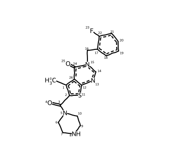 Cc1c(C(=O)N2CCNCC2)sc2ncn(Cc3ccccc3F)c(=O)c12